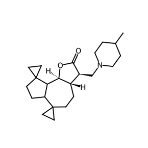 CC1CCN(C[C@@H]2C(=O)O[C@@H]3C4C(CCC45CC5)C4(CC[C@@H]23)CC4)CC1